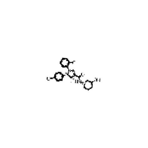 C[C@H]1C(C(=O)NN2CCCC(O)C2)=NN(c2ccccc2Cl)[C@H]1c1ccc(Cl)cc1